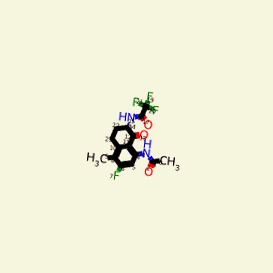 CC(=O)Nc1cc(F)c(C)c2c1C(=O)[C@@H](NC(=O)C(F)(F)F)CC2